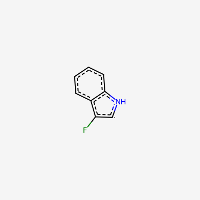 Fc1[c][nH]c2ccccc12